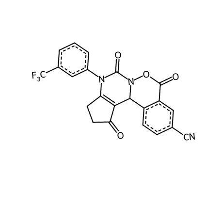 N#Cc1ccc2c(c1)C(=O)ON1C(=O)N(c3cccc(C(F)(F)F)c3)C3=C(C(=O)CC3)C21